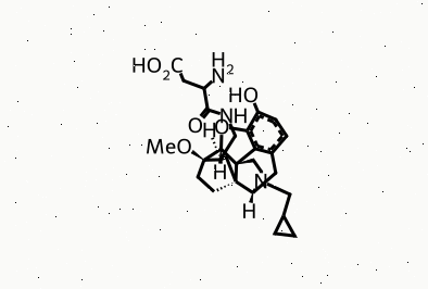 CO[C@]12CC[C@@]3(C[C@@H]1CNC(=O)C(N)CC(=O)O)[C@H]1Cc4ccc(O)c5c4[C@@]3(CCN1CC1CC1)[C@H]2O5